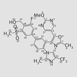 COc1ncc(-c2oc(C)nc2-c2cc(-c3cc(F)c(CO)c(S(C)(=O)=O)c3)ccc2-n2cc(C(F)(F)F)nc2C)cn1